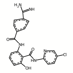 N=C(N)c1ccc(C(=O)Nc2cccc(O)c2C(=O)Nc2ccc(Cl)cn2)cc1